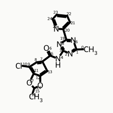 Cc1nc(NC(=O)c2cc(Cl)c3c(c2)OC(C)O3)nc(-c2ccccn2)n1